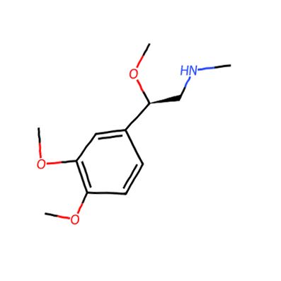 CNC[C@H](OC)c1ccc(OC)c(OC)c1